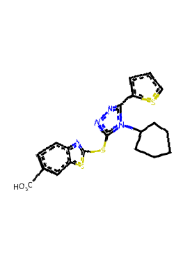 O=C(O)c1ccc2nc(Sc3nnc(-c4cccs4)n3C3CCCCC3)sc2c1